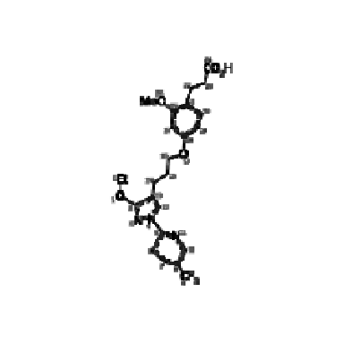 CCOc1nn(-c2ccc(C(F)(F)F)cn2)cc1CCCOc1ccc(CCC(=O)O)c(OC)c1